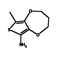 Cc1sc(N)c2c1OCCCO2